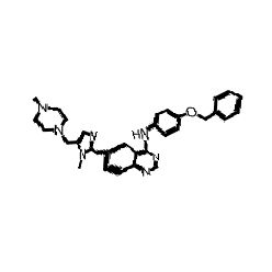 CN1CCN(Cc2cnc(-c3ccc4ncnc(Nc5ccc(OCc6ccccc6)cc5)c4c3)n2C)CC1